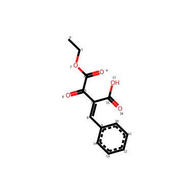 CCOC(=O)C(=O)C(=Cc1ccccc1)C(=O)O